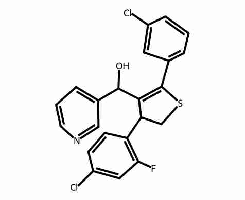 OC(C1=C(c2cccc(Cl)c2)SCC1c1ccc(Cl)cc1F)c1cccnc1